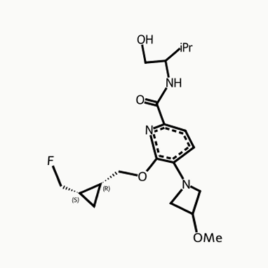 COC1CN(c2ccc(C(=O)NC(CO)C(C)C)nc2OC[C@@H]2C[C@@H]2CF)C1